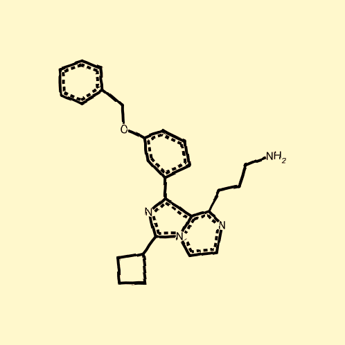 NCCCc1nccn2c(C3CCC3)nc(-c3cccc(OCc4ccccc4)c3)c12